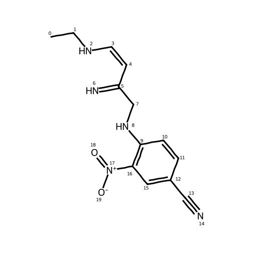 CCN/C=C\C(=N)CNc1ccc(C#N)cc1[N+](=O)[O-]